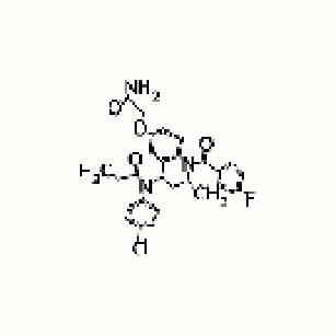 CCC(=O)N(c1ccc(Cl)cc1)C1CC(C)N(C(=O)c2ccc(F)cc2)c2ccc(OCC(N)=O)cc21